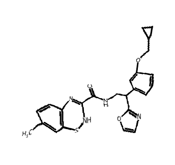 Cc1ccc2c(c1)SNC(C(=O)NCC(c1cccc(OCC3CC3)c1)c1ncco1)=N2